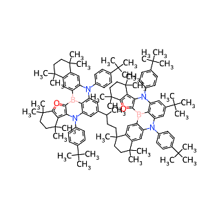 CC(CCC1(C)CCC(C)(C)c2cc3c(cc21)B1c2oc4c(c2N(c2ccc(C(C)(C)C)cc2)c2cc(C(C)(C)C)cc(c21)N3c1ccc(C(C)(C)C)cc1)C(C)(C)CCC4(C)C)c1cc2c3c(c1)N(c1ccc(C(C)(C)C)cc1)c1c(oc4c1C(C)(C)CCC4(C)C)B3c1cc3c(cc1N2c1ccc(C(C)(C)C)cc1)C(C)(C)CCC3(C)C